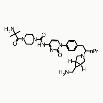 CCCC(Cc1ccc(-n2ccc(NC(=O)N3CCN(C(=O)C(C)(C)N)CC3)nc2=O)cc1)N1C[C@@H]2C(CN)[C@@H]2C1